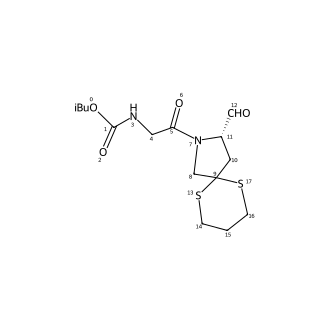 CC(C)COC(=O)NCC(=O)N1CC2(C[C@H]1C=O)SCCCS2